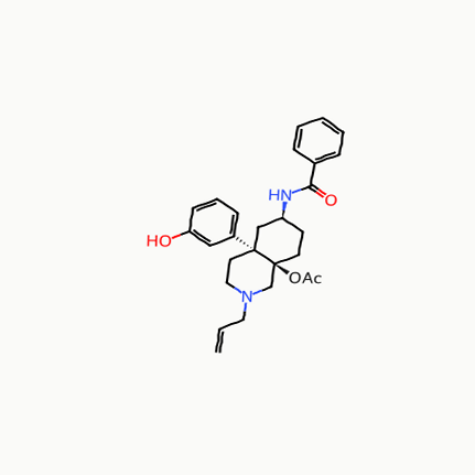 C=CCN1CC[C@@]2(c3cccc(O)c3)C[C@@H](NC(=O)c3ccccc3)CC[C@]2(OC(C)=O)C1